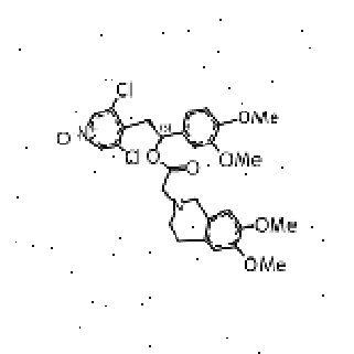 COc1ccc([C@H](Cc2c(Cl)c[n+]([O-])cc2Cl)OC(=O)CN2CCc3cc(OC)c(OC)cc3C2)cc1OC